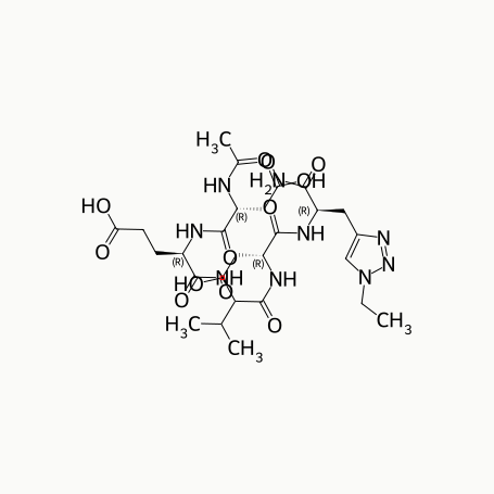 CCn1cc(C[C@@H](NC(=O)[C@@H](CC(=O)O)NC(=O)C(NC(=O)[C@@H](CCC(=O)O)NC(=O)[C@@H](CC(=O)O)NC(C)=O)C(C)C)C(N)=O)nn1